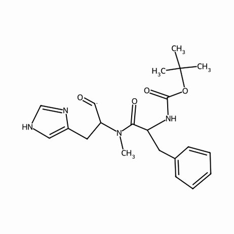 CN(C(=O)C(Cc1ccccc1)NC(=O)OC(C)(C)C)C([C]=O)Cc1c[nH]cn1